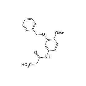 COc1ccc(NC(=O)CC(=O)O)cc1OCc1ccccc1